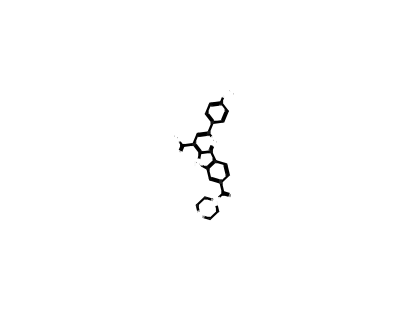 N#Cc1ccc(-c2cc(C(N)=O)c3[nH]c4cc(C(=O)N5CCOCC5)ccc4c3n2)cc1